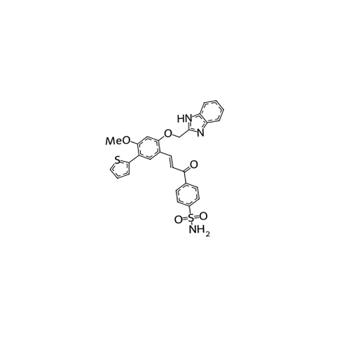 COc1cc(OCc2nc3ccccc3[nH]2)c(C=CC(=O)c2ccc(S(N)(=O)=O)cc2)cc1-c1cccs1